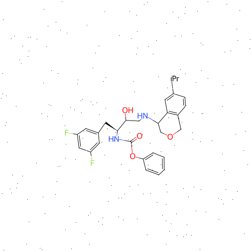 CC(C)c1ccc2c(c1)C(NCC(O)[C@H](Cc1cc(F)cc(F)c1)NC(=O)Oc1ccccc1)COC2